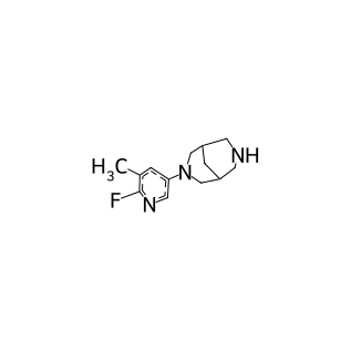 Cc1cc(N2CC3CNCC(C3)C2)cnc1F